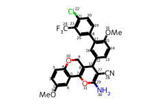 COc1ccc2c(c1)C1=C(CO2)C(c2ccc(OC)c(-c3ccc(Cl)c(C(F)(F)F)c3)c2)C(C#N)=C(N)O1